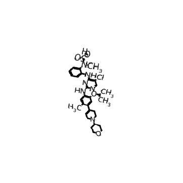 Cc1cc(Nc2ncc(Cl)c(Nc3ccccc3N(C)[SH](=O)=O)n2)c(OC(C)C)cc1C1=CCN(C2CCOCC2)CC1